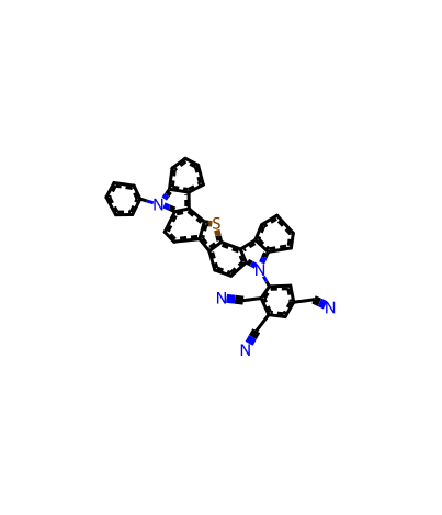 N#Cc1cc(C#N)c(C#N)c(-n2c3ccccc3c3c4sc5c(ccc6c5c5ccccc5n6-c5ccccc5)c4ccc32)c1